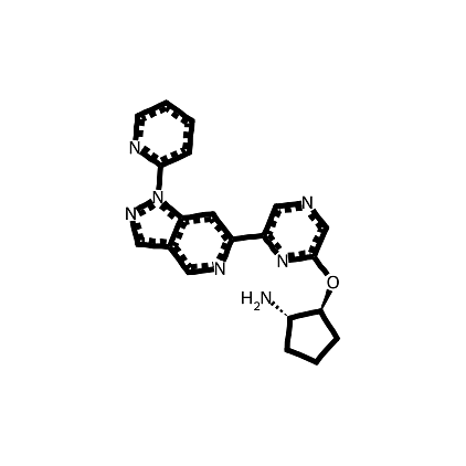 N[C@H]1CCC[C@@H]1Oc1cncc(-c2cc3c(cn2)cnn3-c2ccccn2)n1